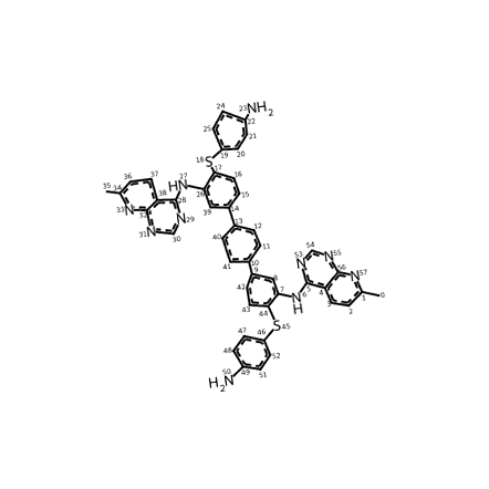 Cc1ccc2c(Nc3cc(-c4ccc(-c5ccc(Sc6ccc(N)cc6)c(Nc6ncnc7nc(C)ccc67)c5)cc4)ccc3Sc3ccc(N)cc3)ncnc2n1